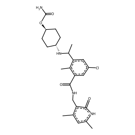 Cc1cc(C)c(CNC(=O)c2cc(Cl)cc(C(C)N[C@H]3CC[C@H](OC(N)=O)CC3)c2C)c(=O)[nH]1